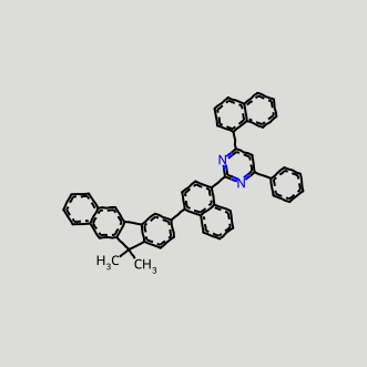 CC1(C)c2ccc(-c3ccc(-c4nc(-c5ccccc5)cc(-c5cccc6ccccc56)n4)c4ccccc34)cc2-c2cc3ccccc3cc21